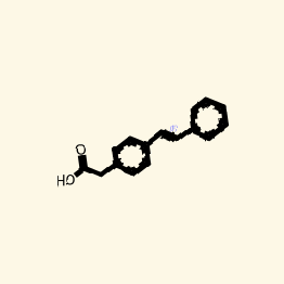 O=C(O)Cc1ccc(/C=C/c2ccccc2)cc1